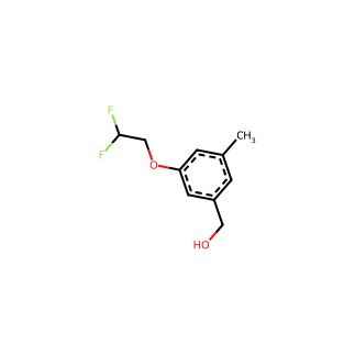 Cc1cc(CO)cc(OCC(F)F)c1